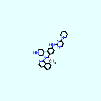 Cc1cccc2ccnc(N(C(=O)c3ccc(Nc4nccc(N5CCCCC5)n4)cc3F)[C@@H]3CCCNC3)c12